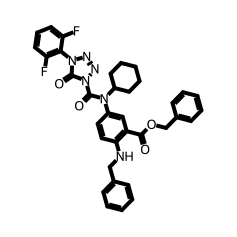 O=C(OCc1ccccc1)c1cc(N(C(=O)n2nnn(-c3c(F)cccc3F)c2=O)C2CCCCC2)ccc1NCc1ccccc1